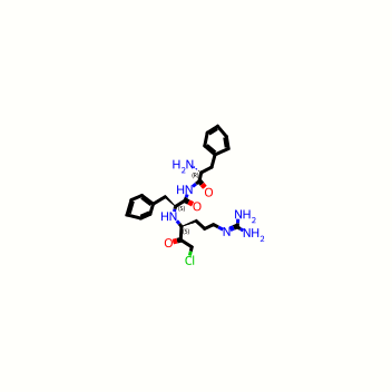 NC(N)=NCCC[C@H](N[C@@H](Cc1ccccc1)C(=O)NC(=O)[C@H](N)Cc1ccccc1)C(=O)CCl